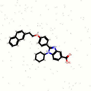 O=C(O)c1ccc2c(c1)nc(-c1ccc(OCCc3ccc4ccccc4c3)cc1)n2C1CCCCC1